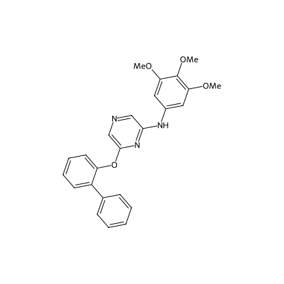 COc1cc(Nc2cncc(Oc3ccccc3-c3ccccc3)n2)cc(OC)c1OC